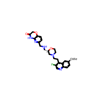 COc1ccc2ncc(F)c(CCN3CCO[C@@H](CNCc4ccc5c(n4)NC(=O)CO5)C3)c2c1